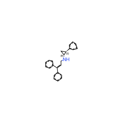 C(CN[C@@H]1C[C@H]1c1ccccc1)=C(c1ccccc1)c1ccccc1